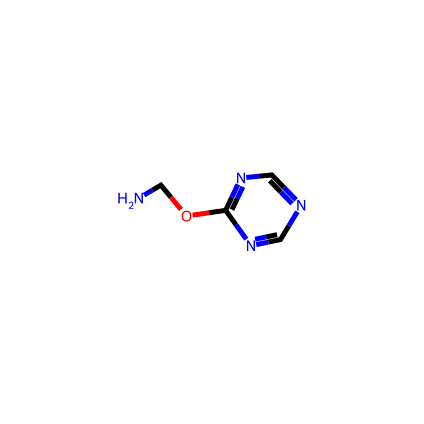 NCOc1ncncn1